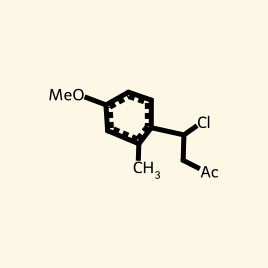 COc1ccc(C(Cl)CC(C)=O)c(C)c1